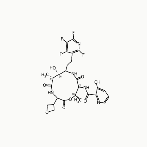 C[C@H]1OC(=O)C(C2COC2)NC(=O)[C@H](C)[C@H](O)C(CCc2c(F)nc(F)c(F)c2F)NC(=O)[C@H]1NC(=O)c1ncccc1O